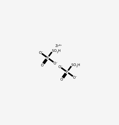 O=P([O-])([O-])S(=O)(=O)O.O=P([O-])([O-])S(=O)(=O)O.[Zr+4]